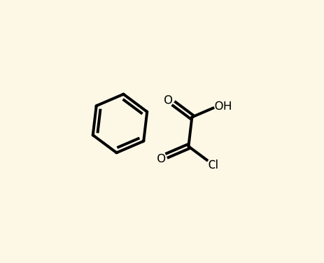 O=C(O)C(=O)Cl.c1ccccc1